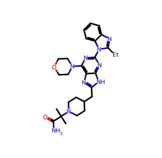 CCc1nc2ccccc2n1-c1nc(N2CCOCC2)c2nc(CC3CCN(C(C)(C)C(N)=O)CC3)[nH]c2n1